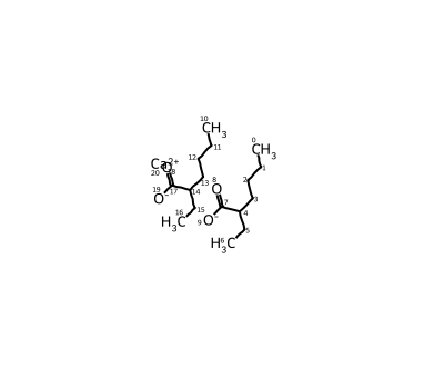 CCCCC(CC)C(=O)[O-].CCCCC(CC)C(=O)[O-].[Ca+2]